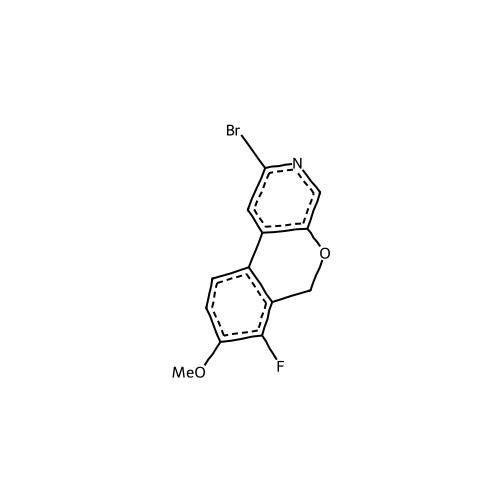 COc1ccc2c(c1F)COc1cnc(Br)cc1-2